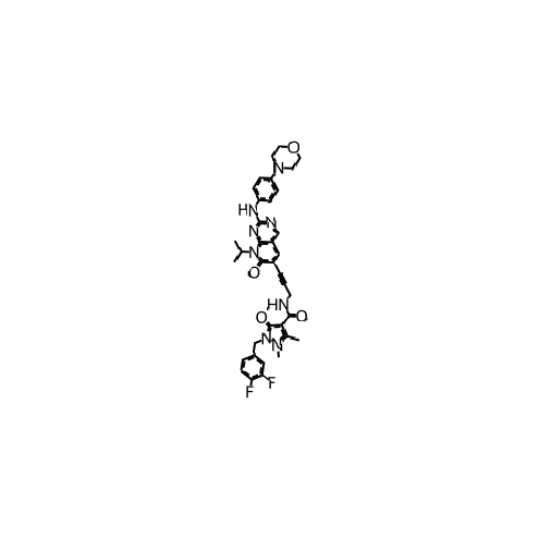 Cc1c(C(=O)NCC#Cc2cc3cnc(Nc4ccc(N5CCOCC5)cc4)nc3n(C(C)C)c2=O)c(=O)n(Cc2ccc(F)c(F)c2)n1C